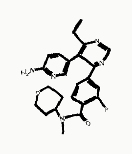 CCc1ncnc(-c2ccc(C(=O)N(C)C3CCOCC3)c(F)c2)c1-c1ccc(N)nc1